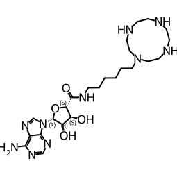 Nc1ncnc2c1ncn2[C@@H]1O[C@H](C(=O)NCCCCCCN2CCNCCNCCNCC2)[C@@H](O)[C@H]1O